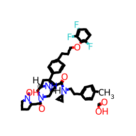 Cc1ccc(CCN(C(=O)C2=C(c3ccc(CCCOc4c(F)ccc(F)c4F)cc3)C[C@@H]3CN(C(=O)C4CCCN4O)C[C@H]2N3)C2CC2)cc1.O=CO